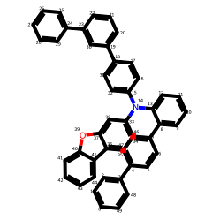 c1ccc(-c2ccc(-c3ccccc3N(c3ccc(-c4cccc(-c5ccccc5)c4)cc3)c3ccc4c(c3)oc3ccccc34)cc2)cc1